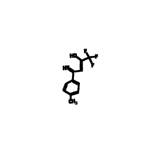 Cc1ccc(C(=N)/C=C(\O)C(F)(F)F)cc1